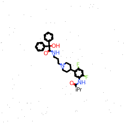 CC(C)C(=O)Nc1cc(C2CCN(CCCNC(=O)C(O)(c3ccccc3)c3ccccc3)CC2)c(F)cc1F